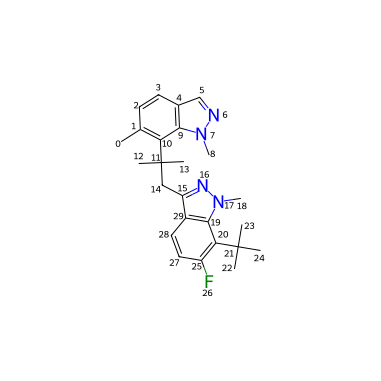 Cc1ccc2cnn(C)c2c1C(C)(C)Cc1nn(C)c2c(C(C)(C)C)c(F)ccc12